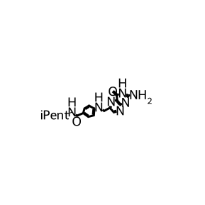 CCC[C@@H](C)NC(=O)c1ccc(NCc2cnc3nc(N)[nH]c(=O)c3n2)cc1